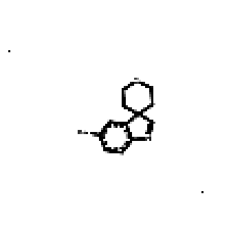 Brc1ccc2c(c1)C1(C=N2)CCOCC1